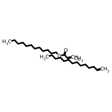 C=CC(=O)OCCCCCCCCCCCC.C=CCCCCCCCCCCCC.[CH3]